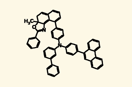 CC12CC=c3cccc(-c4ccc(N(c5ccc(-c6cc7ccccc7c7ccccc67)cc5)c5cccc(-c6ccccc6)c5)cc4)c3=C1N=C(c1ccccc1)O2